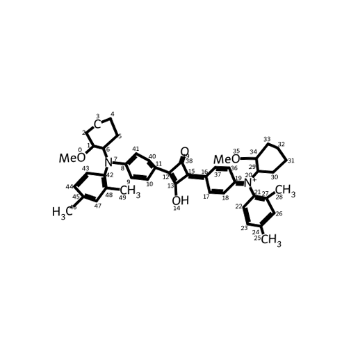 COC1CCCCC1N(c1ccc(C2=C(O)C(=C3C=CC(=[N+](c4ccc(C)cc4C)C4CCCCC4OC)C=C3)C2=O)cc1)c1ccc(C)cc1C